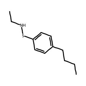 CCCCc1ccc(SNCC)cc1